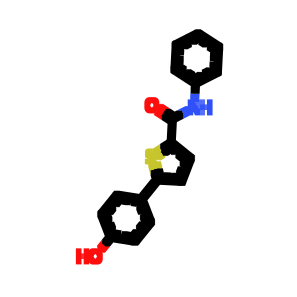 O=C(Nc1ccccc1)c1ccc(-c2ccc(O)cc2)s1